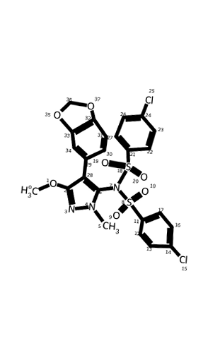 COc1nn(C)c(N(S(=O)(=O)c2ccc(Cl)cc2)S(=O)(=O)c2ccc(Cl)cc2)c1-c1ccc2c(c1)OCO2